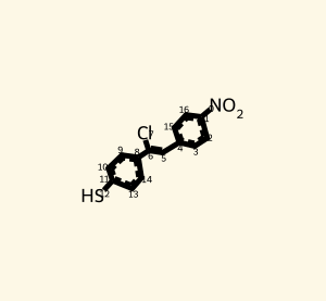 O=[N+]([O-])c1ccc(C=C(Cl)c2ccc(S)cc2)cc1